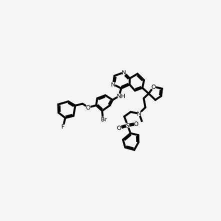 CN(CCC1(c2ccc3ncnc(Nc4ccc(OCc5cccc(F)c5)c(Br)c4)c3c2)CC=CO1)CCS(=O)(=O)c1ccccc1